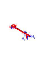 C[C@@H](O)[C@@H](O)[C@H](O)[C@@H](O)C(=O)NCCCCCCCCCCCCCCCCCC(=O)NCCCCCCC(CNCCCCN)CNCCCCN